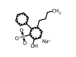 CCCCc1ccc(O)c(S(=O)(=O)[O-])c1-c1ccccc1.[Na+]